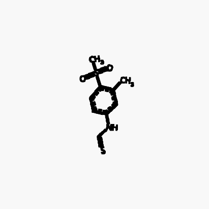 Cc1cc(NC=S)ccc1S(C)(=O)=O